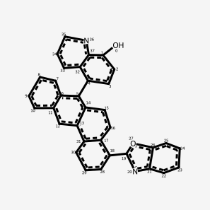 Oc1ccc(-c2c3ccccc3cc3c2ccc2c(-c4nc5ccccc5o4)cccc23)c2cccnc12